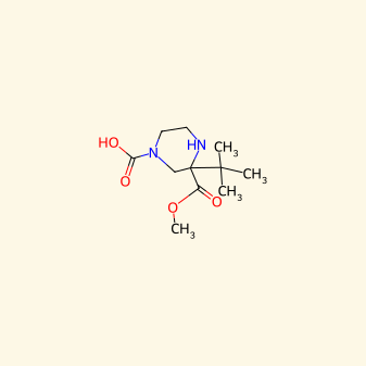 COC(=O)C1(C(C)(C)C)CN(C(=O)O)CCN1